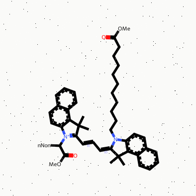 CCCCCCCCCC(C(=O)OC)[N+]1=C(/C=C/C=C2\N(CCCCCCCCCCC(=O)OC)c3ccc4ccccc4c3C2(C)C)C(C)(C)c2c1ccc1ccccc21